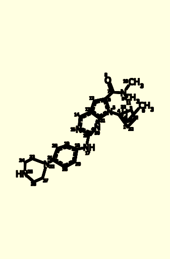 C[C@@H]1C2CC1(n1c(C(=O)N(C)C)cc3cnc(Nc4ccc(N5CCNCC5)cc4)nc31)C2